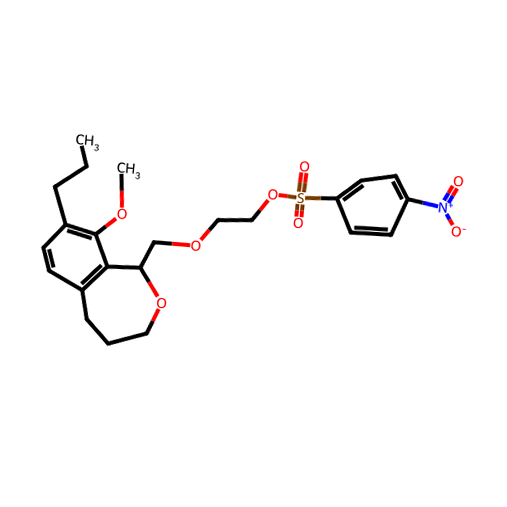 CCCc1ccc2c(c1OC)C(COCCOS(=O)(=O)c1ccc([N+](=O)[O-])cc1)OCCC2